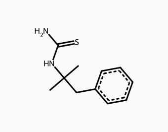 CC(C)(Cc1ccccc1)NC(N)=S